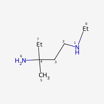 CCNCCC(C)(N)CC